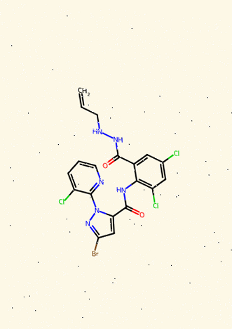 C=CCNNC(=O)c1cc(Cl)cc(Cl)c1NC(=O)c1cc(Br)nn1-c1ncccc1Cl